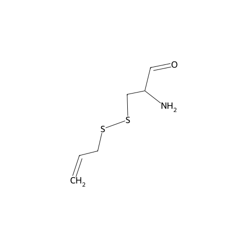 C=CCSSCC(N)C=O